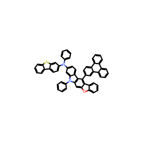 c1ccc(N(c2ccc3c(c2)sc2ccccc23)c2ccc3c4c(-c5ccc6c7ccccc7c7ccccc7c6c5)c5c(cc4n(-c4ccccc4)c3c2)oc2ccccc25)cc1